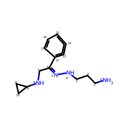 NCCCN/N=C(/CNC1CC1)C1=C=C=CC=C1